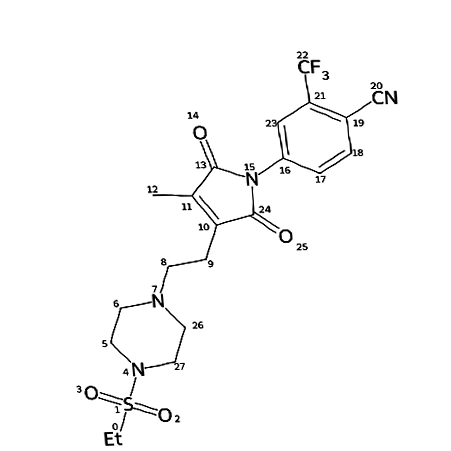 CCS(=O)(=O)N1CCN(CCC2=C(C)C(=O)N(c3ccc(C#N)c(C(F)(F)F)c3)C2=O)CC1